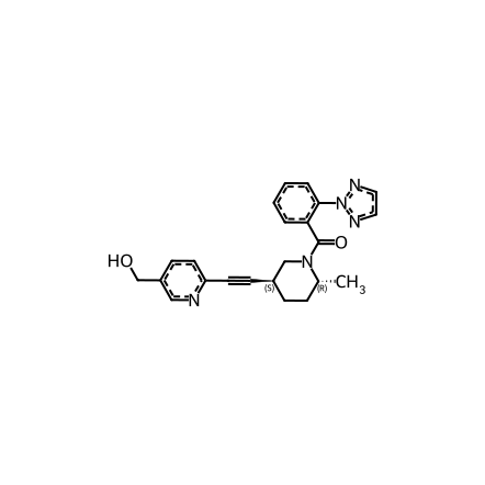 C[C@@H]1CC[C@@H](C#Cc2ccc(CO)cn2)CN1C(=O)c1ccccc1-n1nccn1